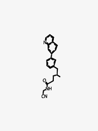 CC(CCC(=O)NCC#N)Cc1cccc(-c2ccc3cccnc3c2)c1